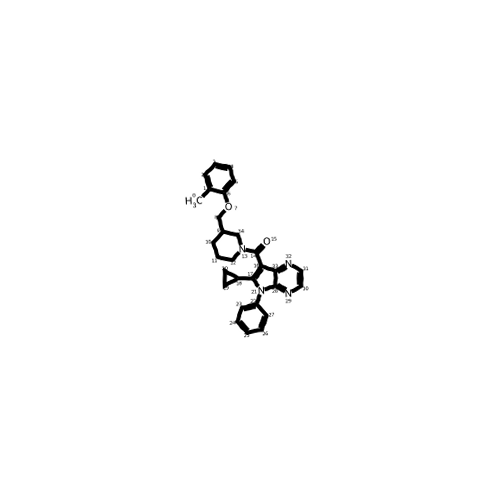 Cc1ccccc1OCC1CCCN(C(=O)c2c(C3CC3)n(-c3ccccc3)c3nccnc23)C1